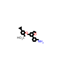 NCc1cccc(-c2cc(COc3cc(C4CC4)ccc3CC(=O)O)cc3ccoc23)c1